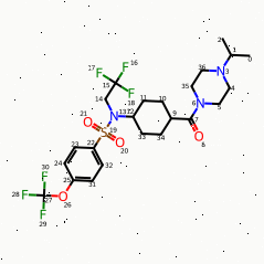 CC(C)N1CCN(C(=O)C2CCC(N(CC(F)(F)F)S(=O)(=O)c3ccc(OC(F)(F)F)cc3)CC2)CC1